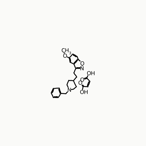 COc1ccc2onc(CCC3CCN(Cc4ccccc4)CC3)c2c1.O=C(O)/C=C\C(=O)O